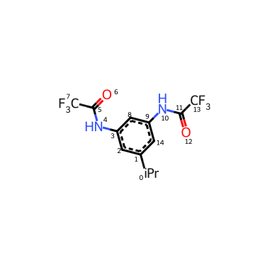 CC(C)c1cc(NC(=O)C(F)(F)F)cc(NC(=O)C(F)(F)F)c1